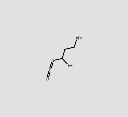 CCCCCC(S)N=C=O